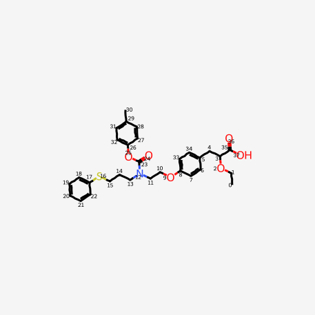 CCOC(Cc1ccc(OCCN(CCCSc2ccccc2)C(=O)Oc2ccc(C)cc2)cc1)C(=O)O